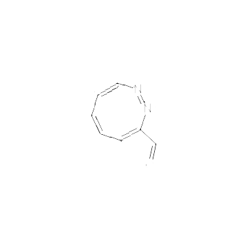 O=CC1=CC=CC=CN=N1